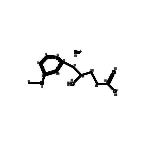 COc1cccc(CC(O)CCC(=O)[O-])c1.[Na+]